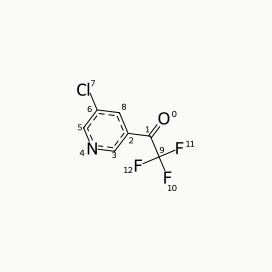 O=C(c1cncc(Cl)c1)C(F)(F)F